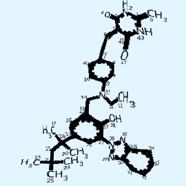 C=c1[nH]c(=O)c(=Cc2ccc(N(CC)Cc3cc(C(C)(C)CC(C)(C)C)cc(-n4nc5ccccc5n4)c3O)cc2)c(=O)[nH]1